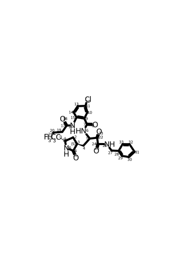 C[C@@H]1C[C@@H](CC(NC(=O)c2cc(Cl)ccc2NC(=O)CCC(F)(F)F)C(=O)C(=O)NCc2ccccc2)C(=O)N1